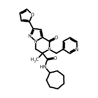 CC1(C(=O)NC2CCCCCC2)Cn2nc(-c3ccco3)cc2C(=O)N1Cc1cccnc1